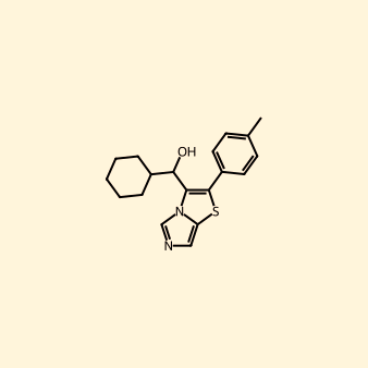 Cc1ccc(-c2sc3cncn3c2C(O)C2CCCCC2)cc1